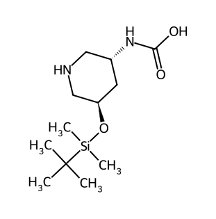 CC(C)(C)[Si](C)(C)O[C@H]1CNC[C@H](NC(=O)O)C1